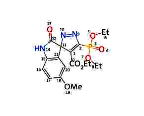 CCOC(=O)C1=C(P(=O)(OCC)OCC)N=NC12C(=O)Nc1ccc(OC)cc12